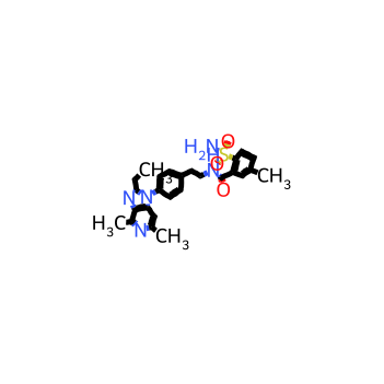 CCc1nc2c(C)nc(C)cc2n1-c1ccc(CCNC(=O)c2cc(C)ccc2S(N)(=O)=O)cc1